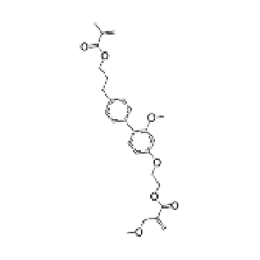 C=C(C)C(=O)OCCCc1ccc(-c2ccc(OCCOC(=O)C(=C)COC)cc2OC)cc1